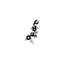 Cc1cc(F)ccc1-c1cc(C(F)(F)F)c(N[C@@H]2C[C@@H]3CN(CC4CCOCC4)C[C@@H]3C2)nn1